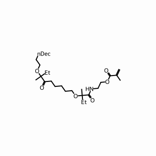 C=C(C)C(=O)OCCNC(=O)C(C)(CC)OCCCCCC(=O)C(C)(CC)OCCCCCCCCCCCC